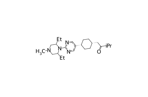 CCC1CN(C)CC(CC)N1c1ncc([C@H]2CC[C@@H](CC(=O)C(C)C)CC2)cn1